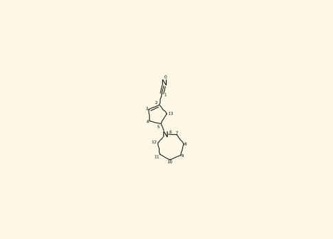 N#CC1=CCC(N2CCCCCC2)C1